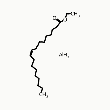 CCCCCCCC/C=C\CCCCCCCC(=O)OCC.[AlH3]